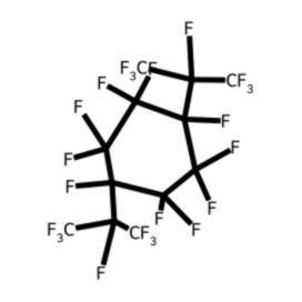 FC(F)(F)C(F)(C(F)(F)F)C1(F)C(F)(F)C(F)(F)C(F)(C(F)(C(F)(F)F)C(F)(F)F)C(F)(F)C1(F)F